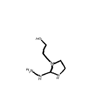 NNC1NCCN1CCO